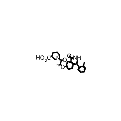 Cc1ccccc1-c1c[nH]c(=O)c2cc(O[C@H](C)C(=O)N3CCC[C@H](C(=O)O)C3)ccc12